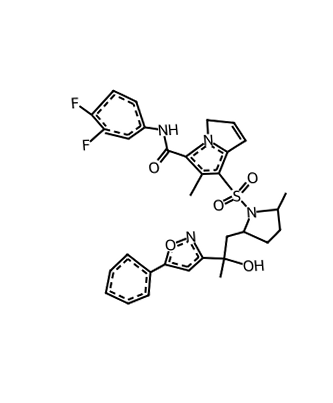 Cc1c(S(=O)(=O)N2C(C)CCC2CC(C)(O)c2cc(-c3ccccc3)on2)c2n(c1C(=O)Nc1ccc(F)c(F)c1)CC=C2